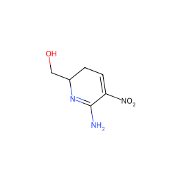 NC1=NC(CO)CC=C1[N+](=O)[O-]